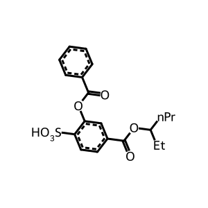 CCCC(CC)OC(=O)c1ccc(S(=O)(=O)O)c(OC(=O)c2ccccc2)c1